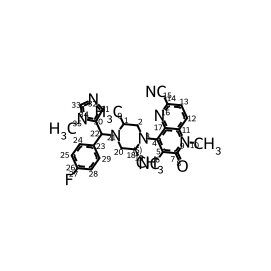 CC1CN(c2c(C#N)c(=O)n(C)c3ccc(C#N)nc23)[C@@H](C)CN1C(c1ccc(F)cc1)c1cncn1C